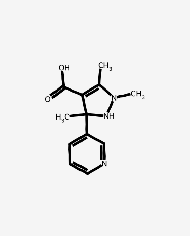 CC1=C(C(=O)O)C(C)(c2cccnc2)NN1C